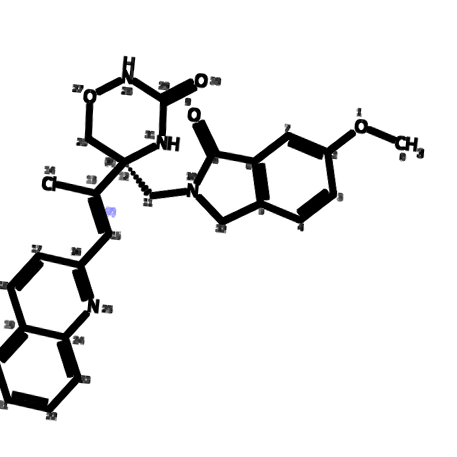 COc1ccc2c(c1)C(=O)N(C[C@]1(/C(Cl)=C/c3ccc4ccccc4n3)CONC(=O)N1)C2